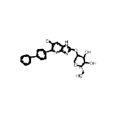 OC[C@@H]1OCC(Oc2nc3nc(-c4ccc(-c5ccccc5)cc4)c(Cl)cc3[nH]2)C(O)C1O